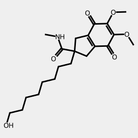 CNC(=O)C1(CCCCCCCCO)CC2=C(C1)C(=O)C(OC)=C(OC)C2=O